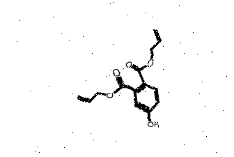 C=CCOC(=O)c1ccc(O)cc1C(=O)OCC=C